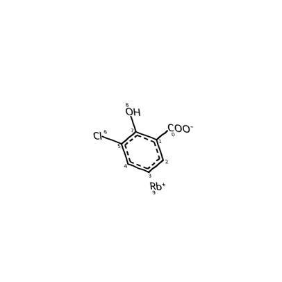 O=C([O-])c1cccc(Cl)c1O.[Rb+]